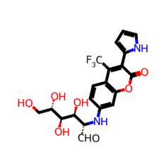 O=C[C@@H](Nc1ccc2c(C(F)(F)F)c(-c3ccc[nH]3)c(=O)oc2c1)[C@H](O)[C@@H](O)[C@@H](O)CO